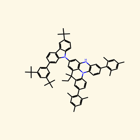 CCC1(C)c2cc(-c3c(C)cc(C)cc3C)ccc2N2c3ccc(-c4c(C)cc(C)cc4C)cc3Nc3cc(-n4c5ccc(C(C)(C)C)cc5c5ccc(-c6cc(C(C)(C)C)cc(C(C)(C)C)c6)cc54)cc1c32